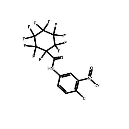 O=C(Nc1ccc(Cl)c([N+](=O)[O-])c1)C1(F)C(F)(F)C(F)(F)C(F)(F)C(F)(F)C1(F)F